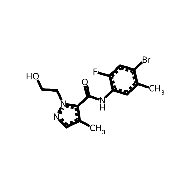 Cc1cc(NC(=O)c2c(C)cnn2CCO)c(F)cc1Br